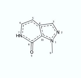 Cn1ncc2cc[nH]c(=O)c21